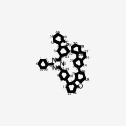 c1ccc(-c2nc(-c3ccc(-c4cccc5oc6ccc(-c7ccc8c(ccc9ccccc98)c7)cc6c45)cc3)nc(-c3ccc4sc5ccccc5c4c3)n2)cc1